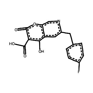 O=C(O)c1c(O)c2cc(Cc3ccc(F)cc3)ncc2oc1=O